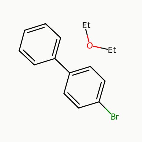 Brc1ccc(-c2ccccc2)cc1.CCOCC